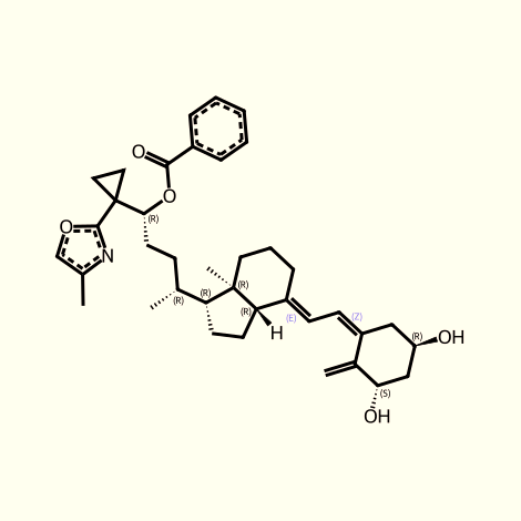 C=C1/C(=C\C=C2/CCC[C@]3(C)[C@@H]([C@H](C)CC[C@@H](OC(=O)c4ccccc4)C4(c5nc(C)co5)CC4)CC[C@@H]23)C[C@@H](O)C[C@@H]1O